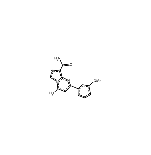 COc1cccc(-c2cc(C)n3cnc(C(N)=O)c3n2)c1